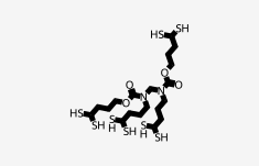 O=C(OCCCC(S)S)N(CCCC(S)S)CN(CCCC(S)S)C(=O)OCCCC(S)S